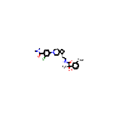 COc1cccc(C(O)(C(=O)NCC[C@H]2CCC23CCN(c2ccc(C(=O)N(C)C)c(Cl)c2)CC3)C(F)(F)F)c1